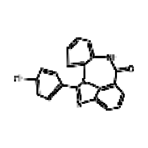 O=C1Nc2ccccc2-n2c(-c3ccc(Cl)cc3)nc3cccc1c32